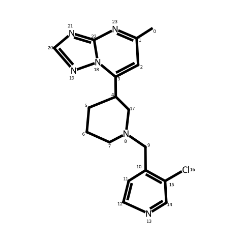 Cc1cc(C2CCCN(Cc3ccncc3Cl)C2)n2ncnc2n1